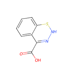 O=C(O)C1=NNSc2ccccc21